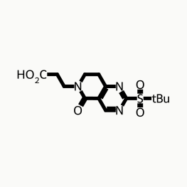 CC(C)(C)S(=O)(=O)c1ncc2c(n1)CCN(CCC(=O)O)C2=O